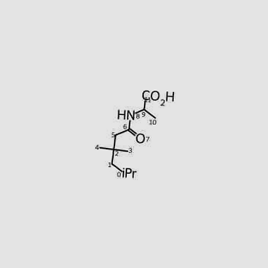 CC(C)CC(C)(C)CC(=O)NC(C)C(=O)O